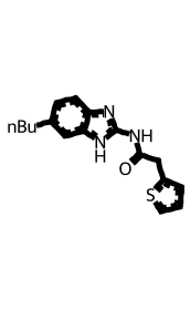 CCCCc1ccc2nc(NC(=O)Cc3cccs3)[nH]c2c1